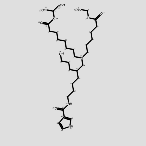 CCCCCCCCCCCOC(=O)CCCCCN(CCCCCCCC(=O)OC(CCCCCCCC)CCCCCCCC)CC(CCCO)CCCCNC(=O)c1cc[nH]c1